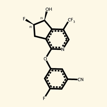 N#Cc1cc(F)cc(Oc2ncc(C(F)(F)F)c3c2C[C@@H](F)[C@H]3O)c1